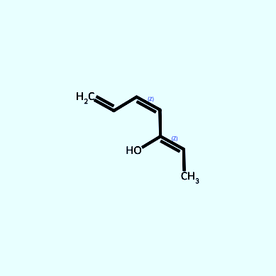 C=C/C=C\C(O)=C\C